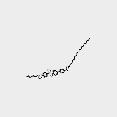 CCCCCCCCCCCCCCCCCCOC(C)c1ccc(-c2ccc(OC(=O)c3ccc(OCCCCCC)cc3)cc2)cc1